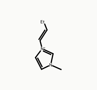 CCC=C[n+]1ccn(C)c1